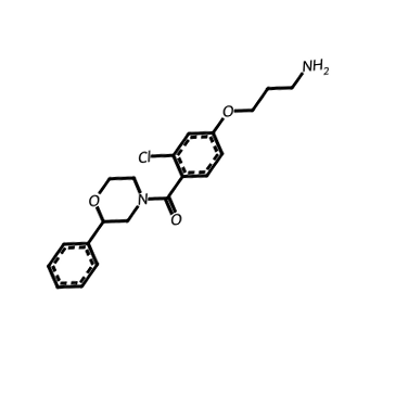 NCCCOc1ccc(C(=O)N2CCOC(c3ccccc3)C2)c(Cl)c1